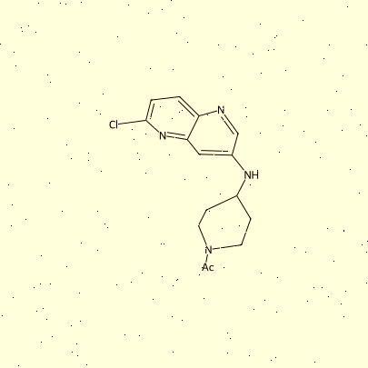 CC(=O)N1CCC(Nc2cnc3ccc(Cl)nc3c2)CC1